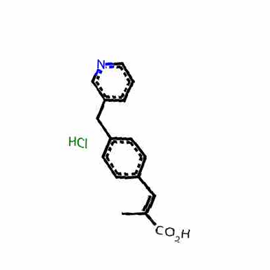 CC(=Cc1ccc(Cc2cccnc2)cc1)C(=O)O.Cl